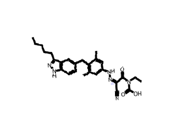 CCCCCc1n[nH]c2ccc(Cc3c(C)cc(N/N=C(/C#N)C(=O)N(CC)C(=O)O)cc3C)cc12